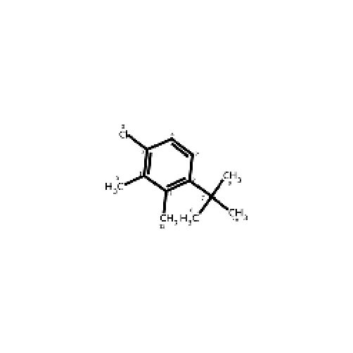 Cc1c(Cl)ccc(C(C)(C)C)c1C